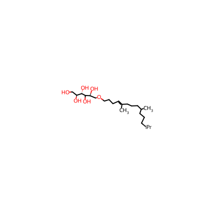 C/C(=C\CCCOC[C@H](O)C(O)[C@@H](O)[C@@H](O)CO)CCCC(C)CCCC(C)C